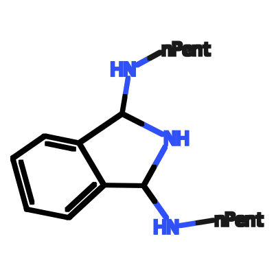 CCCCCNC1NC(NCCCCC)c2ccccc21